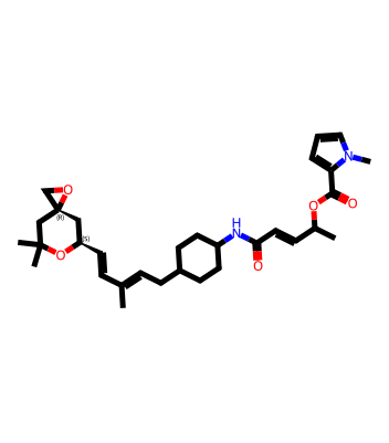 CC(C=C[C@@H]1C[C@]2(CO2)CC(C)(C)O1)=CCC1CCC(NC(=O)C=CC(C)OC(=O)c2cccn2C)CC1